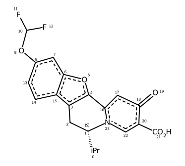 CC(C)[C@@H]1Cc2c(oc3cc(OC(F)F)ccc23)-c2cc(=O)c(C(=O)O)cn21